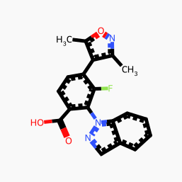 Cc1noc(C)c1-c1ccc(C(=O)O)c(-n2ncc3ccccc32)c1F